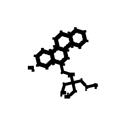 CCOCC(CO)(CO)NCc1cc2c3ccccc3ccc2c2ccccc12.Cl